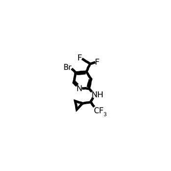 FC(F)c1cc(NC(C2CC2)C(F)(F)F)ncc1Br